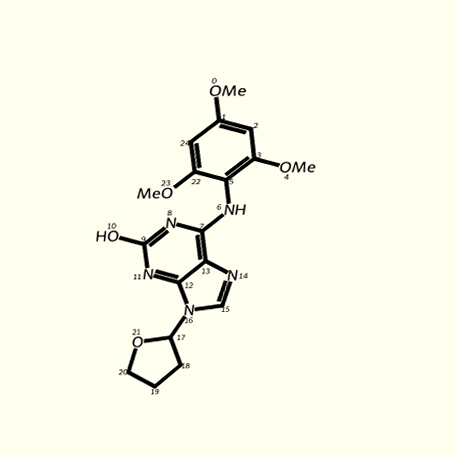 COc1cc(OC)c(Nc2nc(O)nc3c2ncn3C2CCCO2)c(OC)c1